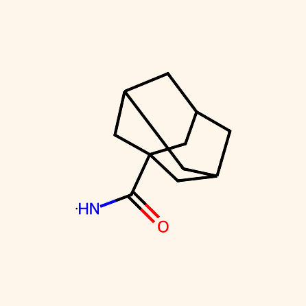 [NH]C(=O)C12CC3CC(CC(C3)C1)C2